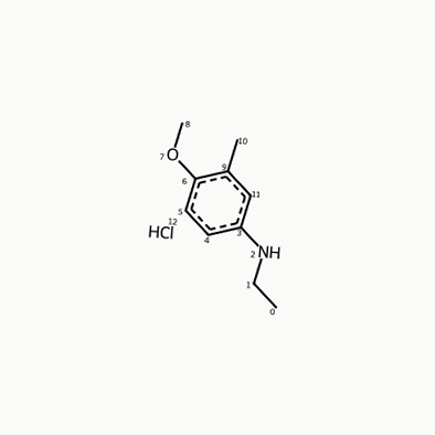 CCNc1ccc(OC)c(C)c1.Cl